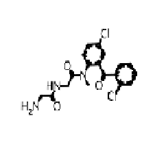 CN(C(=O)CNC(=O)CN)c1ccc(Cl)cc1C(=O)c1ccccc1Cl